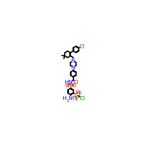 CC1(C)CCC(c2ccc(Cl)cc2)=C(CN2CCN(c3ccc(C(=O)NS(=O)(=O)c4ccc(N)c(S(=O)(=O)C(F)(F)Cl)c4)cc3)CC2)C1